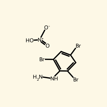 NNc1c(Br)cc(Br)cc1Br.O=[N+]([O-])O